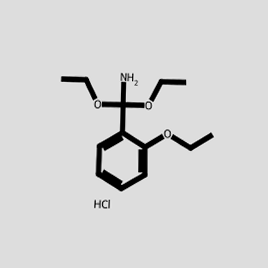 CCOc1ccccc1C(N)(OCC)OCC.Cl